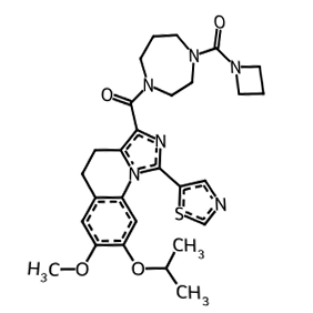 COc1cc2c(cc1OC(C)C)-n1c(-c3cncs3)nc(C(=O)N3CCCN(C(=O)N4CCC4)CC3)c1CC2